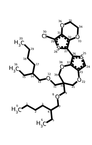 CCCCC(CC)COCC1(COCC(CC)CCCC)COc2csc(-c3sc(Cl)c4c3OCCO4)c2OC1